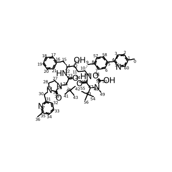 Cc1ccc(-c2ccc(C[C@@H](C[C@H](O)[C@H](Cc3ccccc3)NC(=O)[C@@H](N3CCN(Cc4cccc(C)n4)C3=O)C(C)(C)C)NC(=O)[C@@H](N(C)C(=O)O)C(C)(C)C)cc2)nc1